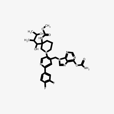 COC(=O)NC1(C(O)C(C)C(C)C)CCCN(c2cnc(-c3ccc(F)c(F)c3)cc2Cn2cnc3c(OC(N)=O)ncnc32)C1